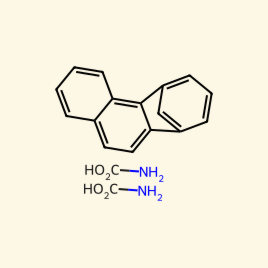 NC(=O)O.NC(=O)O.c1cc2cc(c1)-c1c-2ccc2ccccc12